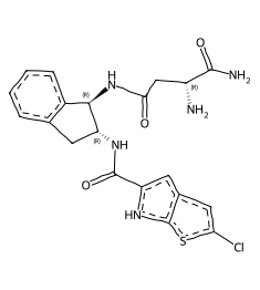 NC(=O)[C@H](N)CC(=O)N[C@@H]1c2ccccc2C[C@H]1NC(=O)c1cc2cc(Cl)sc2[nH]1